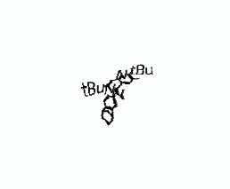 Cc1cc2c(cc(C(C)(C)C)n3c4cc5c(cc4nc23)C2CCC5C2)nc1C(C)(C)C